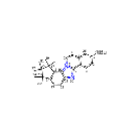 CC(C)(C)c1ccc2c(ccn3c2nc2ccc4c(c23)C(C)(C)C(C)(C)C4(C)C)c1